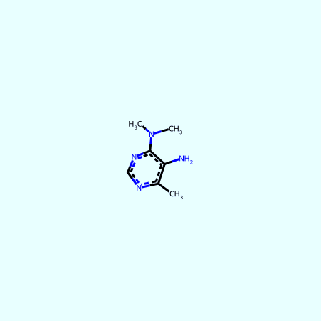 Cc1ncnc(N(C)C)c1N